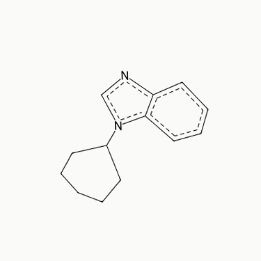 c1ccc2c(c1)ncn2C1CCCCC1